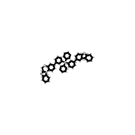 c1ccc([Si](c2ccccc2)(c2cccc(-c3ccc4c(c3)OCc3nc5ccccc5n3-4)c2)c2cccc(-c3ccc4oc5ccccc5c4c3)c2)cc1